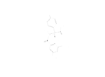 Cc1cc(C)cc(C(=O)N(C)[C@@](C)(C(=O)O)c2ccc(Cl)cc2)c1